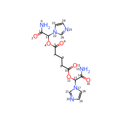 NC(=O)C(OC(=O)CCCC(=O)OC(C(N)=O)n1ccnc1)n1ccnc1